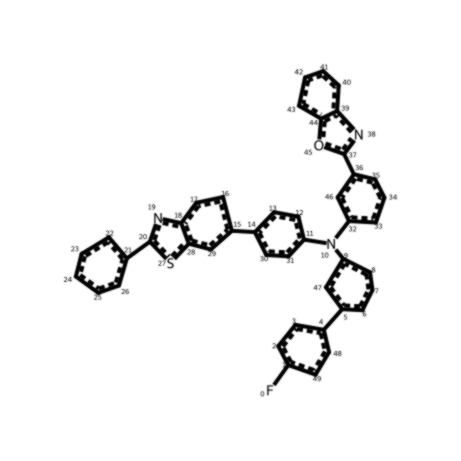 Fc1ccc(-c2cccc(N(c3ccc(-c4ccc5nc(-c6ccccc6)sc5c4)cc3)c3cccc(-c4nc5ccccc5o4)c3)c2)cc1